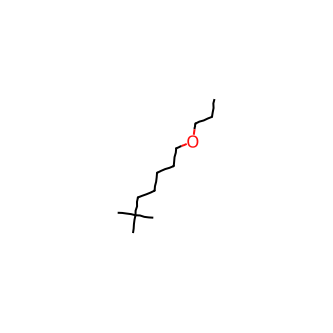 CCCOCCCCCC(C)(C)C